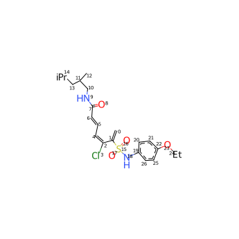 C=C(/C(Cl)=C\C=C\C(=O)NCC(C)CC(C)C)S(=O)(=O)Nc1ccc(OCC)cc1